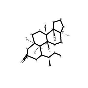 CC[C@@H](C)C1CC(=O)C[C@H]2CC[C@H]3[C@@H]4CCC[C@@]4(C)CC[C@@H]3[C@@]12C